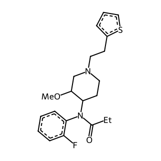 CCC(=O)N(c1ccccc1F)C1CCN(CCc2cccs2)CC1OC